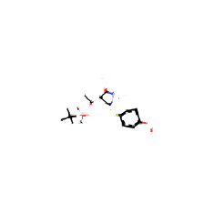 COc1ccc(S[C@H]2NC(=O)[C@@H]2C(C)O[Si](C)(C)C(C)(C)C)cc1